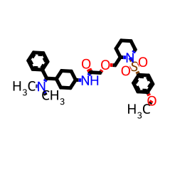 COc1ccc(S(=O)(=O)N2CCCCC2COCC(=O)NC2CCC(C(c3ccccc3)N(C)C)CC2)cc1